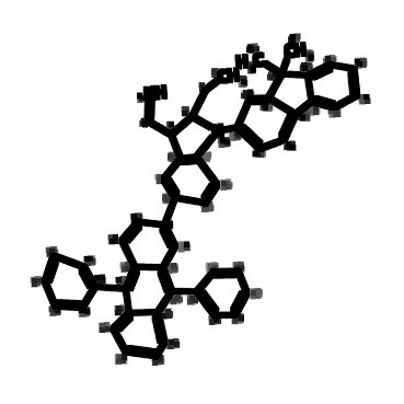 CCC1C(C=N)c2cc(-c3ccc4c(-c5ccccc5)c5ccccc5c(-c5ccccc5)c4c3)ccc2N1c1ccc2c(c1)C(C)(C)c1ccccc1-2